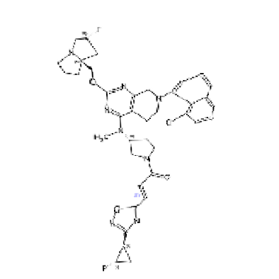 CN(c1nc(OC[C@@]23CCCN2C[C@H](F)C3)nc2c1CCN(c1cccc3cccc(Cl)c13)C2)[C@@H]1CCN(C(=O)/C=C/c2nc([C@H]3C[C@@H]3F)no2)C1